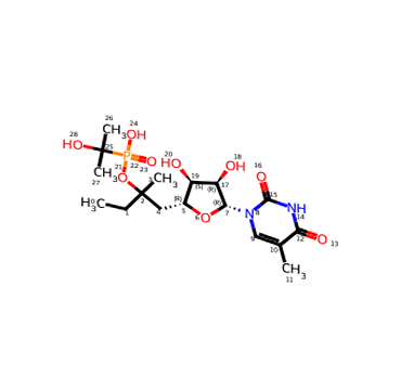 CCC(C)(C[C@H]1O[C@@H](n2cc(C)c(=O)[nH]c2=O)[C@H](O)[C@@H]1O)OP(=O)(O)C(C)(C)O